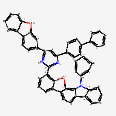 c1ccc(-c2ccc(-c3cc(-c4ccc5c(c4)oc4ccccc45)nc(-c4cccc5c4oc4c5ccc5c6ccccc6n(-c6ccccc6)c54)n3)cc2)cc1